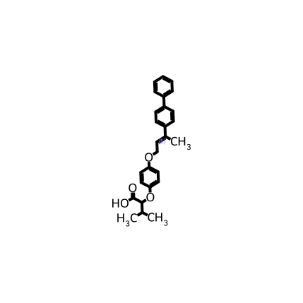 C/C(=C\COc1ccc(OC(C(=O)O)C(C)C)cc1)c1ccc(-c2ccccc2)cc1